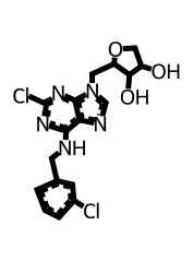 OC1COC(Cn2cnc3c(NCc4cccc(Cl)c4)nc(Cl)nc32)C1O